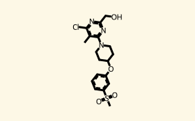 Cc1c(Cl)nc(CO)nc1N1CCC(Oc2cccc(S(C)(=O)=O)c2)CC1